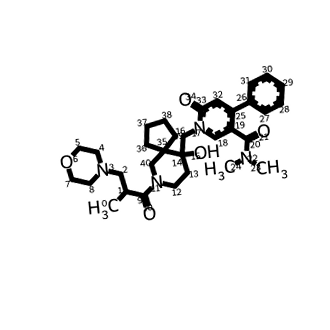 CC(CN1CCOCC1)C(=O)N1CCC(O)(Cn2cc(C(=O)N(C)C)c(-c3ccccc3)cc2=O)C2(CCCC2)C1